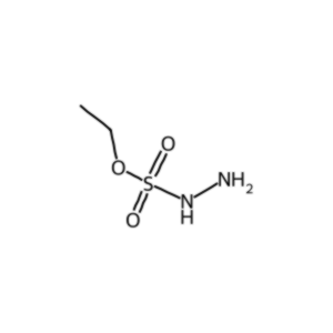 CCOS(=O)(=O)NN